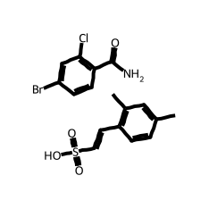 Cc1ccc(C=CS(=O)(=O)O)c(C)c1.NC(=O)c1ccc(Br)cc1Cl